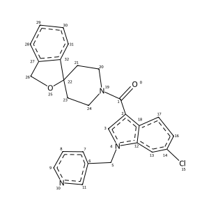 O=C(c1cn(Cc2cccnc2)c2cc(Cl)ccc12)N1CCC2(CC1)OCc1ccccc12